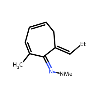 CC/C=C1\CC=CC=C(C)\C1=N\NC